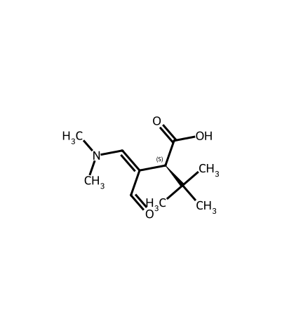 CN(C)C=C(C=O)[C@@H](C(=O)O)C(C)(C)C